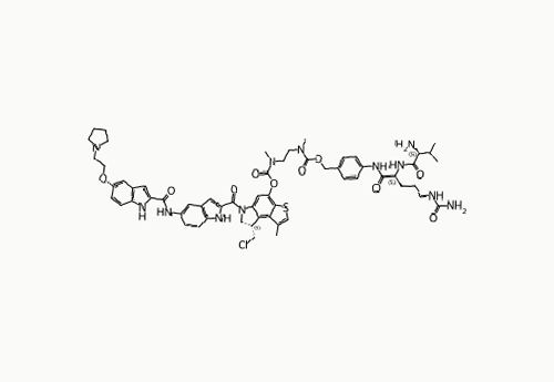 Cc1csc2c(OC(=O)N(C)CCN(C)C(=O)OCc3ccc(NC(=O)[C@H](CCCNC(N)=O)NC(=O)[C@@H](N)C(C)C)cc3)cc3c(c12)[C@H](CCl)CN3C(=O)c1cc2cc(NC(=O)c3cc4cc(OCCN5CCCC5)ccc4[nH]3)ccc2[nH]1